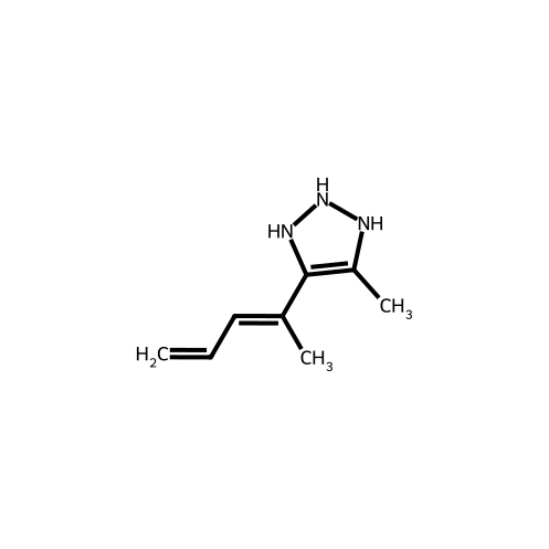 C=C/C=C(\C)C1=C(C)NNN1